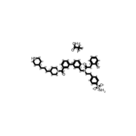 NS(=O)(=O)c1ccc(CCN(Cc2cccc(-c3cccc(C(=O)N4CCC(CCCC5CCNCC5)CC4)c3)c2)C(=O)Cc2ccccc2Br)cc1.O=C(O)C(F)(F)F